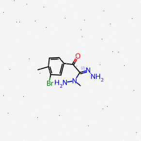 Cc1ccc(C(=O)/C(=N/N)N(C)N)cc1Br